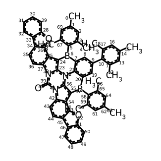 Cc1cc(C)c(B2c3cc(-c4c(C)cc(C)cc4C)cc4c3-n3c5c2c2c6oc7ccccc7c6ccc2n5c(=O)n2c5ccc6c7ccccc7oc6c5c(c32)B4c2c(C)cc(C)cc2C)c(C)c1